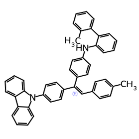 Cc1ccc(/C=C(\c2ccc(Nc3ccccc3-c3ccccc3C)cc2)c2ccc(-n3c4ccccc4c4ccccc43)cc2)cc1